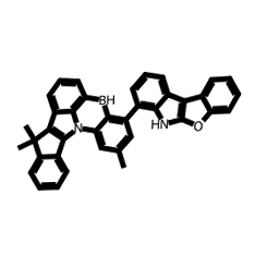 Cc1cc(-c2cccc3c2[nH]c2oc4ccccc4c23)c2c(c1)-n1c3c(c4cccc(c41)B2)C(C)(C)c1ccccc1-3